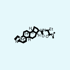 CC[C@H](NC(=O)[C@@H]1CC[C@H]2[C@@H]3CCC4[C@H](C=Cc5nccn54)[C@H]3CC[C@@H]21)C(=O)N(C)C